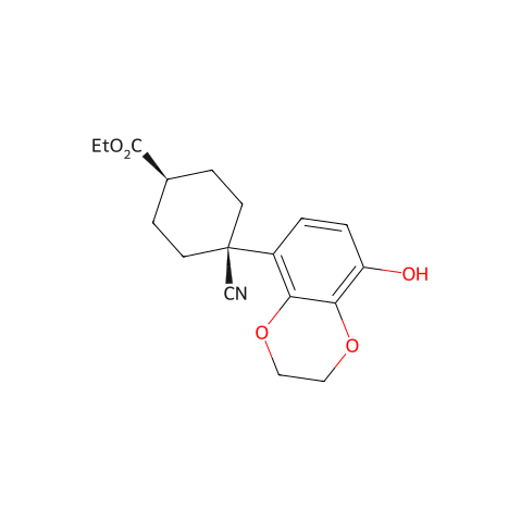 CCOC(=O)[C@H]1CC[C@](C#N)(c2ccc(O)c3c2OCCO3)CC1